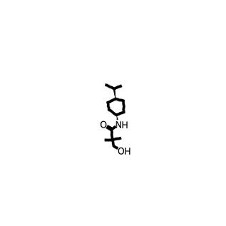 CC(C)[C@H]1CC[C@H](NC(=O)C(C)(C)CO)CC1